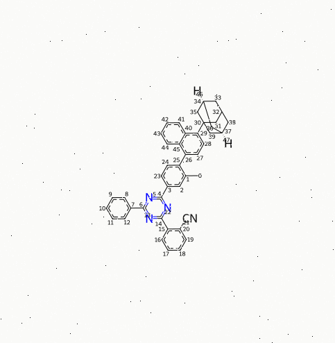 Cc1cc(-c2nc(-c3ccccc3)nc(-c3ccccc3C#N)n2)ccc1-c1ccc(C23CC4C[C@H](C2)C[C@@H](C4)C3)c2ccccc12